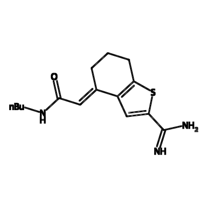 CCCCNC(=O)C=C1CCCc2sc(C(=N)N)cc21